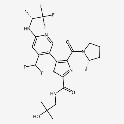 C[C@H]1CCCN1C(=O)c1nc(C(=O)NCC(C)(C)O)sc1-c1cnc(N[C@H](C)C(F)(F)F)cc1C(F)F